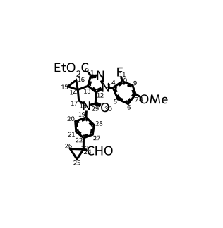 CCOC(=O)c1nn(-c2ccc(OC)cc2F)c2c1C1(CC1)CN(c1ccc(C3(C=O)CC3)cc1)C2=O